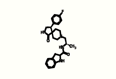 C[C@@H](CN1CCC2(CC1)C(=O)NC[C@H]2c1ccc(F)cc1)NC(=O)C1Cc2ccccc2N1